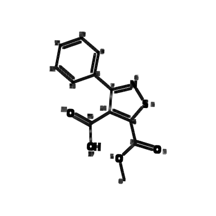 COC(=O)c1snc(-c2ccccc2)c1C(=O)O